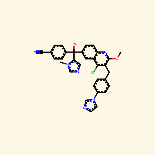 COc1nc2ccc(C(O)(c3ccc(C#N)cc3)c3cncn3C)cc2c(Cl)c1Cc1ccc(-n2ccnc2)cc1